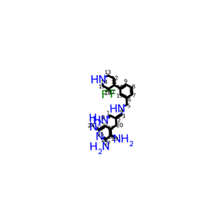 N=C/C(=C\NCc1cccc(C2CCNCC2(F)F)c1)Cc1cc(N)nc(N)c1N